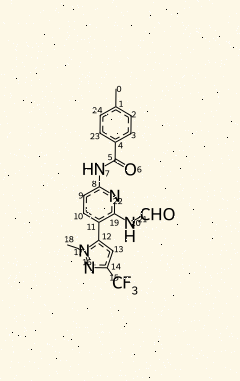 Cc1ccc(C(=O)Nc2ccc(-c3cc(C(F)(F)F)nn3C)c(NC=O)n2)cc1